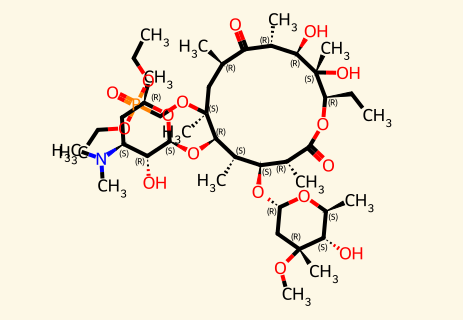 CCOP(=O)(CO[C@@]1(C)C[C@@H](C)C(=O)[C@H](C)[C@@H](O)[C@](C)(O)[C@@H](CC)OC(=O)[C@H](C)[C@@H](O[C@H]2C[C@@](C)(OC)[C@@H](O)[C@H](C)O2)[C@H](C)[C@H]1O[C@@H]1O[C@H](C)C[C@H](N(C)C)[C@H]1O)OCC